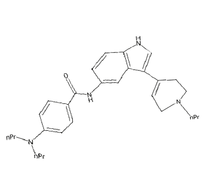 CCCN1CC=C(c2c[nH]c3ccc(NC(=O)c4ccc(N(CCC)CCC)cc4)cc23)CC1